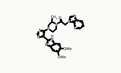 COc1cc2nc(-c3ncsc3N3CCN(C(=O)Cn4cnc5cccnc54)C(C)C3)[nH]c2cc1OC